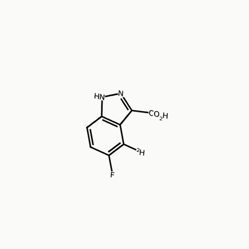 [2H]c1c(F)ccc2[nH]nc(C(=O)O)c12